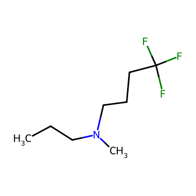 CCCN(C)CCCC(F)(F)F